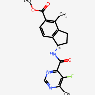 Cc1c(C(=O)OC(C)(C)C)ccc2c1CC[C@@H]2NC(=O)c1ncnc(C#N)c1F